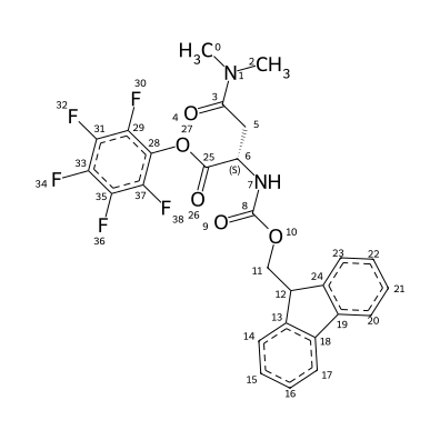 CN(C)C(=O)C[C@H](NC(=O)OCC1c2ccccc2-c2ccccc21)C(=O)Oc1c(F)c(F)c(F)c(F)c1F